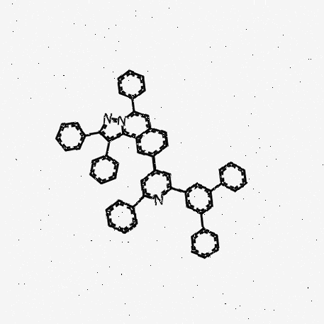 c1ccc(-c2cc(-c3ccccc3)cc(-c3cc(-c4ccc5cc(-c6ccccc6)n6nc(-c7ccccc7)c(-c7ccccc7)c6c5c4)cc(-c4ccccc4)n3)c2)cc1